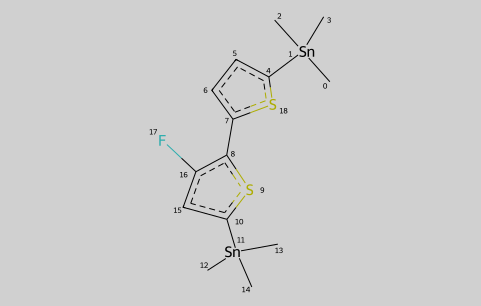 [CH3][Sn]([CH3])([CH3])[c]1ccc(-c2s[c]([Sn]([CH3])([CH3])[CH3])cc2F)s1